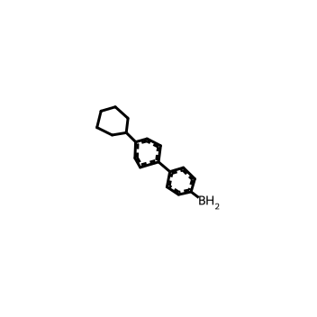 Bc1ccc(-c2ccc(C3CCCCC3)cc2)cc1